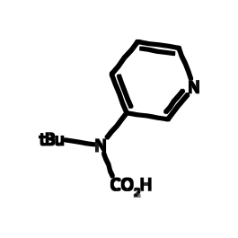 CC(C)(C)N(C(=O)O)c1cccnc1